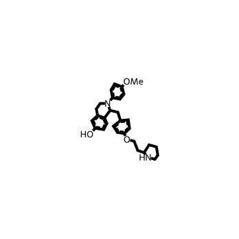 COc1ccc(N2CCc3cc(O)ccc3C2Cc2ccc(OCCC3CCCCN3)cc2)cc1